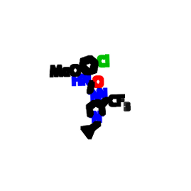 COc1ccc(Cl)cc1NC(=O)Cn1nc(C(F)(F)F)c2c1CCN(CC1CC1)C2